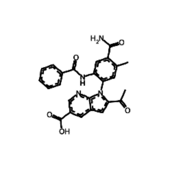 CC(=O)c1cc2cc(C(=O)O)cnc2n1-c1cc(C)c(C(N)=O)cc1NC(=O)c1ccccc1